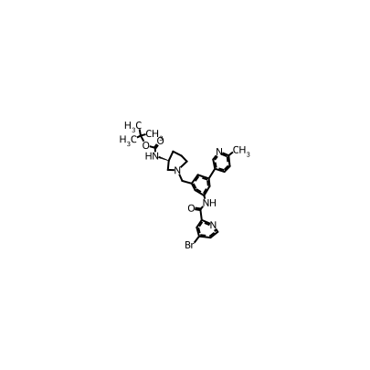 Cc1ccc(-c2cc(CN3CCC[C@H](NC(=O)OC(C)(C)C)C3)cc(NC(=O)c3cc(Br)ccn3)c2)cn1